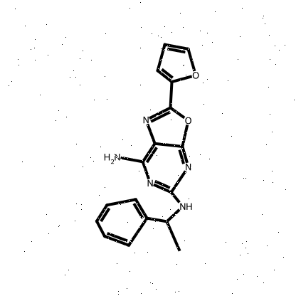 CC(Nc1nc(N)c2nc(-c3ccco3)oc2n1)c1ccccc1